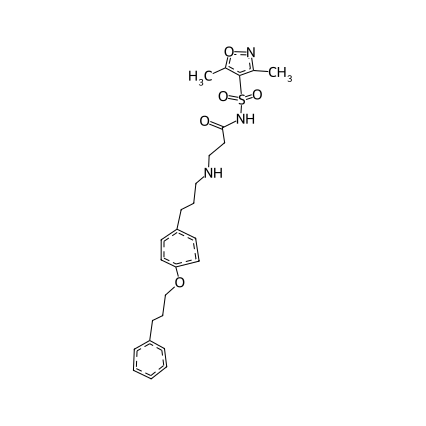 Cc1noc(C)c1S(=O)(=O)NC(=O)CCNCCCc1ccc(OCCCc2ccccc2)cc1